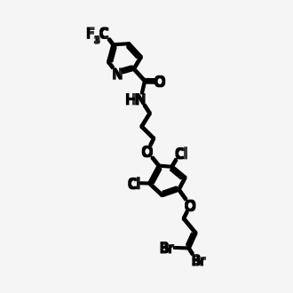 O=C(NCCCOc1c(Cl)cc(OCC=C(Br)Br)cc1Cl)c1ccc(C(F)(F)F)cn1